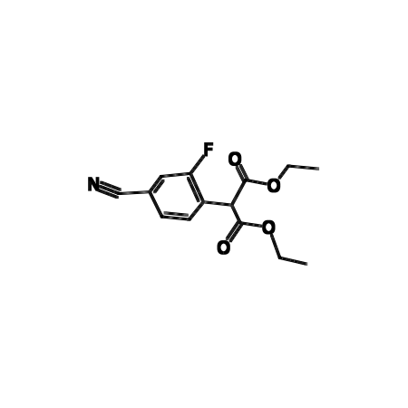 CCOC(=O)C(C(=O)OCC)c1ccc(C#N)cc1F